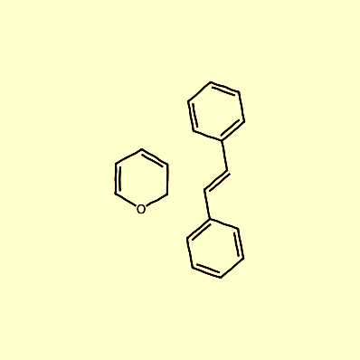 C(=Cc1ccccc1)c1ccccc1.C1=CCOC=C1